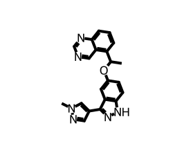 CC(Oc1ccc2[nH]nc(-c3cnn(C)c3)c2c1)c1cccc2ncncc12